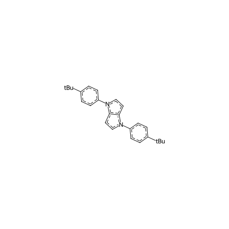 CC(C)(C)c1ccc(-n2ccc3c2ccn3-c2ccc(C(C)(C)C)cc2)cc1